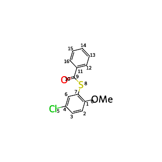 COc1ccc(Cl)cc1SC(=O)c1ccccc1